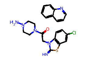 N=c1sc2cc(Cl)ccc2n1CC(=O)N1CCN(N)CC1.c1ccc2ncccc2c1